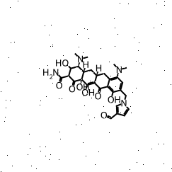 CN(C)c1cc(Cn2ccc(C=O)c2)c(O)c2c1C[C@H]1C[C@H]3[C@H](N(C)C)C(O)C(C(N)=O)C(=O)[C@@]3(O)C(O)=C1C2=O